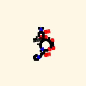 CO[C@]1(C)C[C@@H](C)CN(C)[C@H](C(O)CCN2CCCC2)COC(=O)C(C)(C)C(=O)[C@H](C)[C@H]1O[C@@H]1O[C@H](C)C[C@H](N(C)C)[C@H]1O